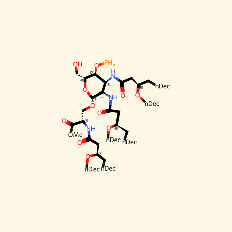 CCCCCCCCCCC[C@H](CC(=O)N[C@H]1[C@H](OC[C@H](NC(=O)C[C@@H](CCCCCCCCCCC)OCCCCCCCCCC)C(=O)OC)O[C@H](CO)[C@@H](OP)[C@H]1NC(=O)C[C@@H](CCCCCCCCCCC)OCCCCCCCCCC)OCCCCCCCCCC